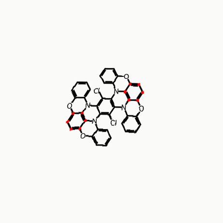 Clc1c(N2c3ccccc3Oc3ccccc32)c(N2c3ccccc3Oc3ccccc32)c(Cl)c(N2c3ccccc3Oc3ccccc32)c1N1c2ccccc2Oc2ccccc21